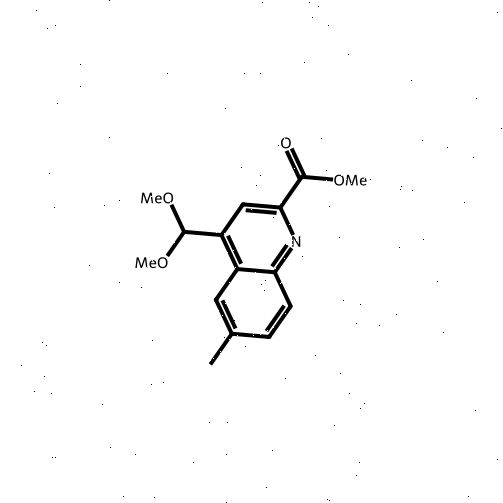 COC(=O)c1cc(C(OC)OC)c2cc(C)ccc2n1